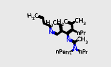 C=CCC\N=C/C(=C\C)C(/N=C(\C)N(CCC)CCCCC)=C(/CCC)C(=C)C